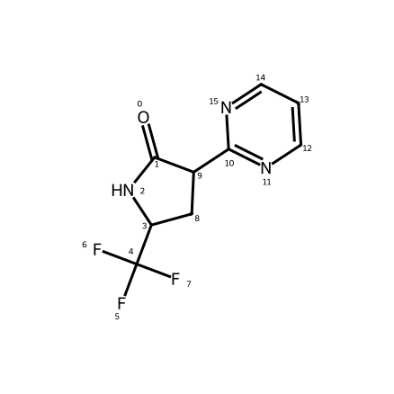 O=C1NC(C(F)(F)F)CC1c1ncccn1